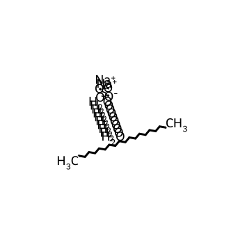 CCCCCCCCCCCCCCCCCCCC.O.O.O.O.O.O.O.O.O.O.O=S(=O)([O-])[O-].[Na+].[Na+]